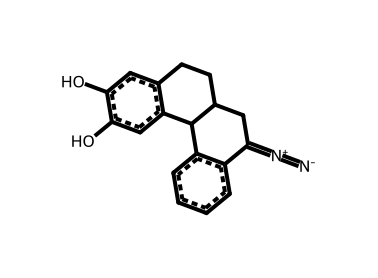 [N-]=[N+]=C1CC2CCc3cc(O)c(O)cc3C2c2ccccc21